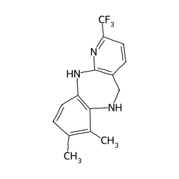 Cc1ccc2c(c1C)NCc1ccc(C(F)(F)F)nc1N2